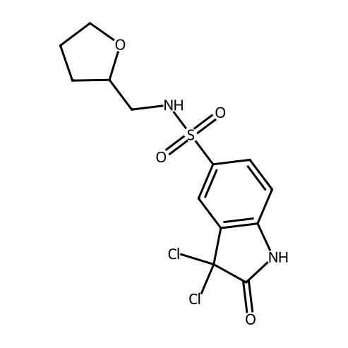 O=C1Nc2ccc(S(=O)(=O)NCC3CCCO3)cc2C1(Cl)Cl